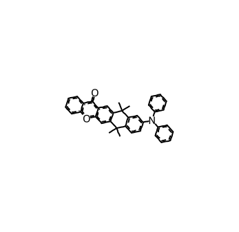 CC1(C)c2ccc(N(c3ccccc3)c3ccccc3)cc2C(C)(C)c2cc3c(=O)c4ccccc4oc3cc21